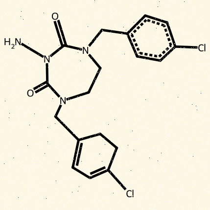 NN1C(=O)N(CC2=CC=C(Cl)CC2)CCN(Cc2ccc(Cl)cc2)C1=O